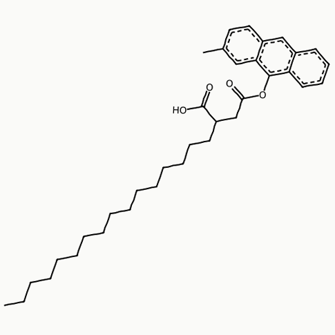 CCCCCCCCCCCCCCCCC(CC(=O)Oc1c2ccccc2cc2ccc(C)cc12)C(=O)O